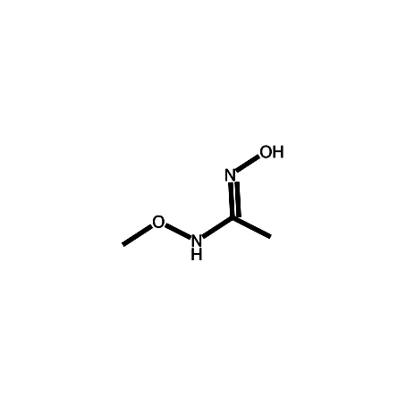 CONC(C)=NO